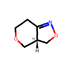 C1CC2=NOC[C@@H]2CO1